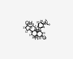 CN(C)c1ccc([C@H]2C[C@@]3(C)C(CC[C@@H]3O)C3CC[C@H]4CC(=O)CC[C@@H]4C32)cc1